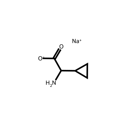 NC(C(=O)[O-])C1CC1.[Na+]